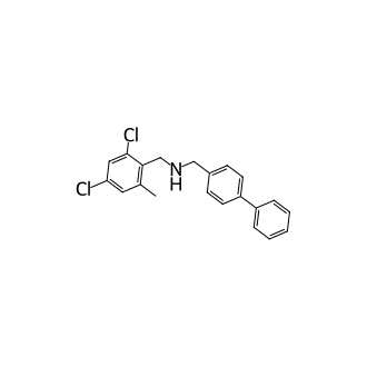 Cc1cc(Cl)cc(Cl)c1CNCc1ccc(-c2ccccc2)cc1